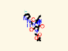 CCc1cc2n(CC(=O)Nc3ccc(F)cn3)c3c(c(=O)n2n1)CN(CC(=O)OC(C)(C)C)C3=O